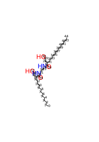 CCCCCCCCCCCCCCC(CCO)C(=O)NCCCNC(=O)C(CCO)CCCCCCCCCCCCCC